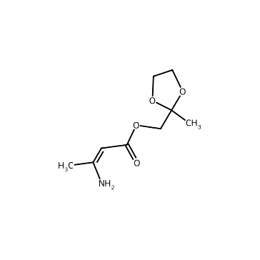 CC(N)=CC(=O)OCC1(C)OCCO1